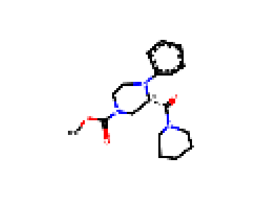 CC(C)(C)OC(=O)N1CCN(c2ccccc2)[C@H](C(=O)N2CCCCC2)C1